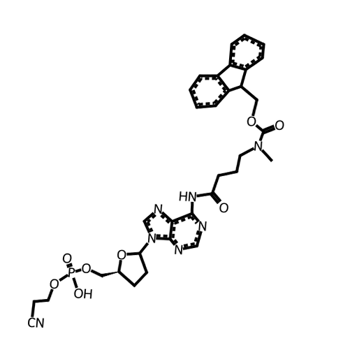 CN(CCCC(=O)Nc1ncnc2c1ncn2C1CC[C@@H](COP(=O)(O)OCCC#N)O1)C(=O)OCC1c2ccccc2-c2ccccc21